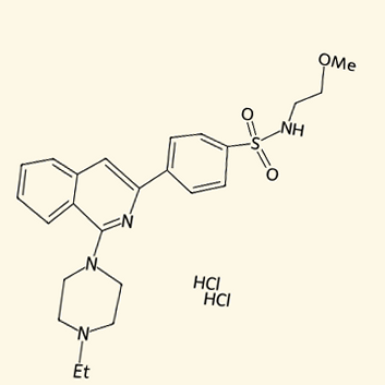 CCN1CCN(c2nc(-c3ccc(S(=O)(=O)NCCOC)cc3)cc3ccccc23)CC1.Cl.Cl